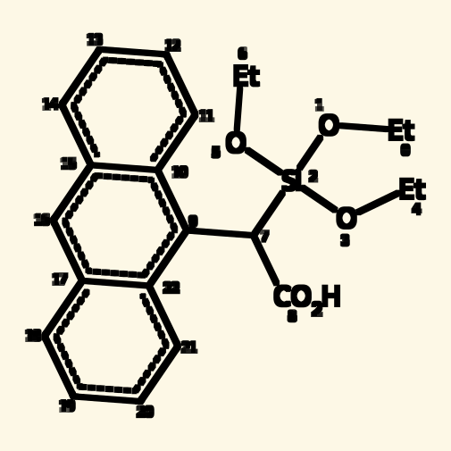 CCO[Si](OCC)(OCC)C(C(=O)O)c1c2ccccc2cc2ccccc12